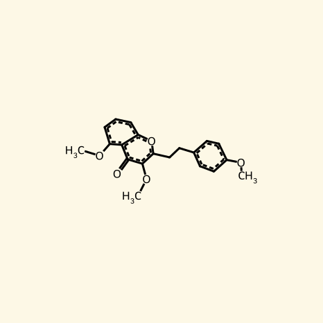 COc1ccc(CCc2oc3cccc(OC)c3c(=O)c2OC)cc1